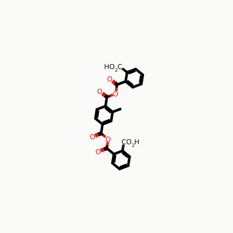 Cc1cc(C(=O)OC(=O)c2ccccc2C(=O)O)ccc1C(=O)OC(=O)c1ccccc1C(=O)O